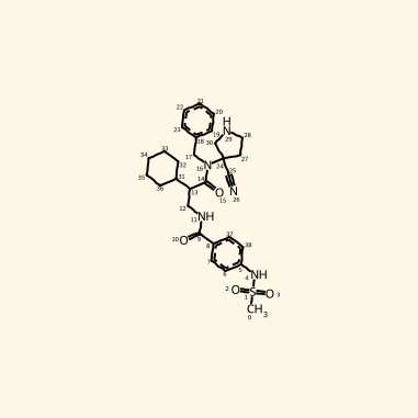 CS(=O)(=O)Nc1ccc(C(=O)NCC(C(=O)N(Cc2ccccc2)C2(C#N)CCNC2)C2CCCCC2)cc1